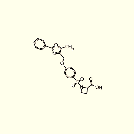 Cc1oc(-c2ccccc2)nc1COc1ccc(S(=O)(=O)N2CCC2C(=O)O)cc1